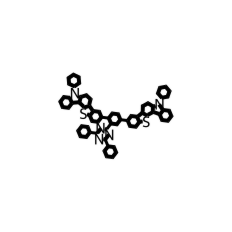 c1ccc(-c2nc(-c3ccccc3)nc(-c3cc(-c4ccc5sc6c(ccc7c6c6ccccc6n7-c6ccccc6)c5c4)ccc3-c3ccc4sc5c(ccc6c5c5ccccc5n6-c5ccccc5)c4c3)n2)cc1